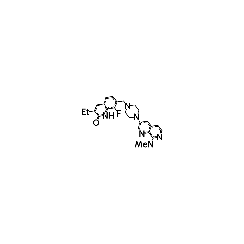 CCc1cc2ccc(CN3CCN(c4cnc5c(NC)nccc5c4)CC3)c(F)c2[nH]c1=O